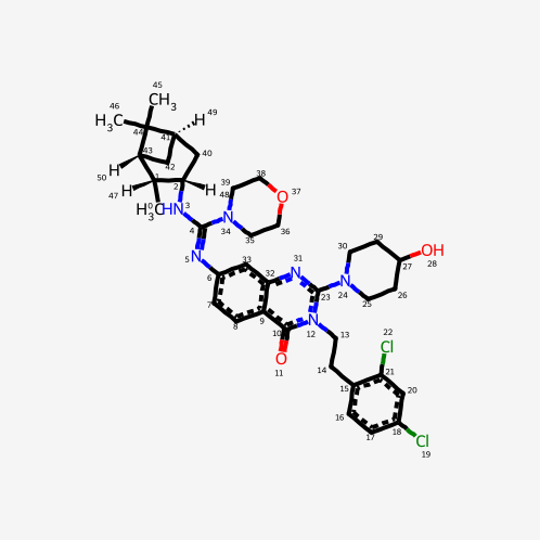 C[C@H]1[C@@H](NC(=Nc2ccc3c(=O)n(CCc4ccc(Cl)cc4Cl)c(N4CCC(O)CC4)nc3c2)N2CCOCC2)C[C@H]2C[C@H]1C2(C)C